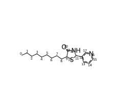 CCCCCCCCCC1SC(c2cccnc2)NC1=O